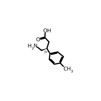 Cc1ccc([C@@H](CN)CC(=O)O)cc1